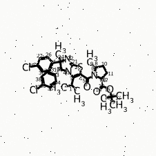 CC(C)C1=C(C(=O)N2[C@H](C)CC[C@H]2C(=O)OC(C)(C)C)SC2=N[C@@](C)(c3ccc(Cl)cc3)[C@@H](c3ccc(Cl)cc3)N21